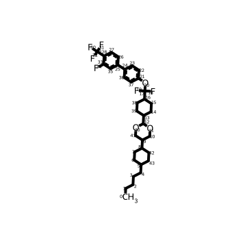 CCCCCC1CCC(C2COC(C3CCC(C(F)(F)Oc4ccc(-c5ccc(C(F)(F)F)c(F)c5)cc4)CC3)OC2)CC1